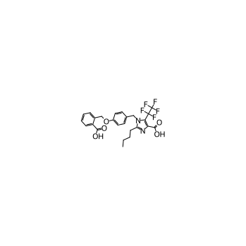 CCCCc1nc(C(=O)O)c(C(F)(F)C(F)(F)F)n1Cc1ccc(OCc2ccccc2C(=O)O)cc1